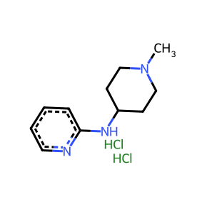 CN1CCC(Nc2ccccn2)CC1.Cl.Cl